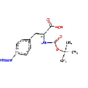 CC(C)(C)OC(=O)N[C@@H](Cc1ccc(N=N)cc1)C(=O)O